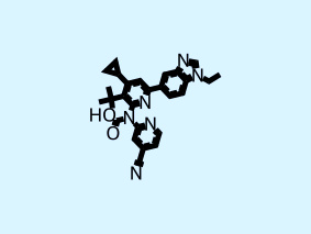 CCn1cnc2cc(-c3cc(C4CC4)c(C(C)(C)C)c(N(C(=O)O)c4cc(C#N)ccn4)n3)ccc21